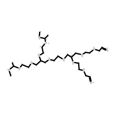 COC(C)OCCOCC(COCCOCC(COCCOCC=O)OCCOCC=O)OCCOC(C)OC